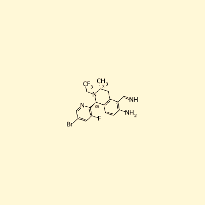 C[C@@H]1Cc2c(ccc(N)c2C=N)[C@@H](c2ncc(Br)cc2F)N1CC(F)(F)F